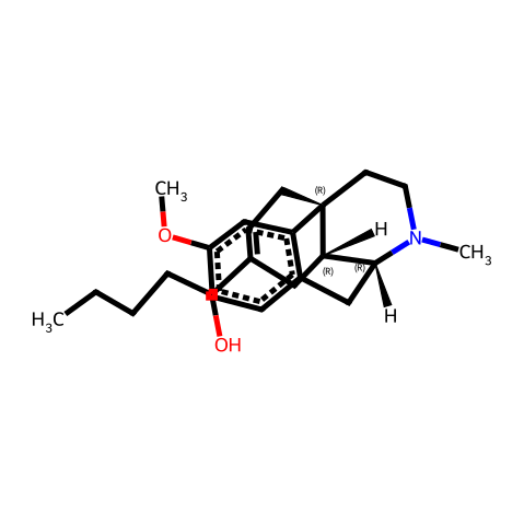 CCCCC(O)C1=CC[C@]23CCN(C)[C@H](Cc4ccc(OC)cc42)[C@@H]3C1